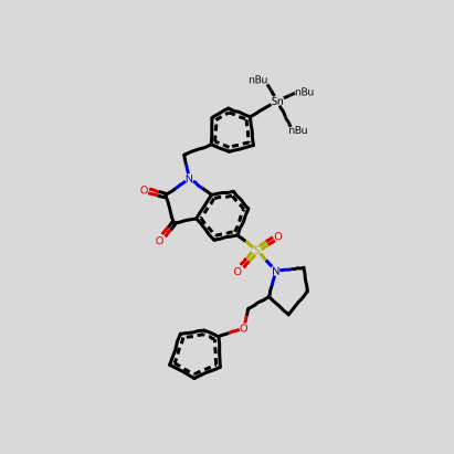 CCC[CH2][Sn]([CH2]CCC)([CH2]CCC)[c]1ccc(CN2C(=O)C(=O)c3cc(S(=O)(=O)N4CCCC4COc4ccccc4)ccc32)cc1